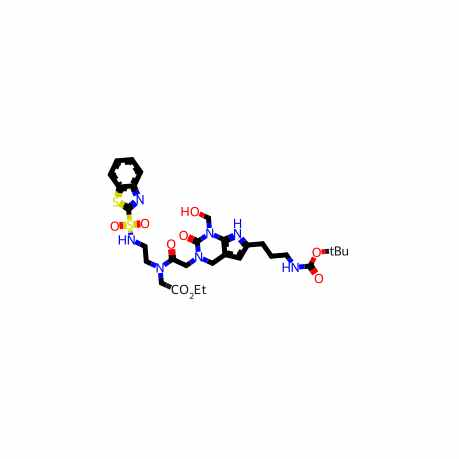 CCOC(=O)CN(CCNS(=O)(=O)c1nc2ccccc2s1)C(=O)CN1Cc2cc(CCCNC(=O)OC(C)(C)C)[nH]c2N(CO)C1=O